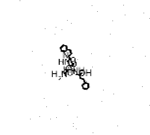 NC(=O)C[C@@H](NC(=O)c1ccc2ccccc2n1)C(=O)NNCC(O)CCc1ccccc1